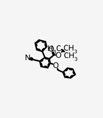 CC(C)(C)OC(=O)c1c(OCc2ccccc2)ccc(C#N)c1-c1ccccc1